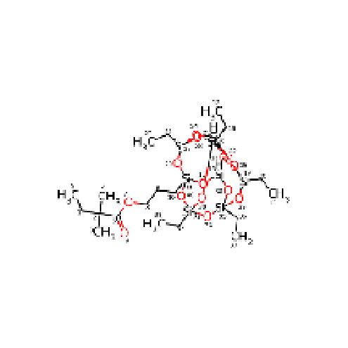 CCC(C)(C)C(=O)OCCC[Si]12O[SiH]3O[Si]4(CC)O[Si]5(CC)O[SiH](O[Si](CC)(O4)O1)O[Si](CC)(O[Si](CC)(O3)O5)O2